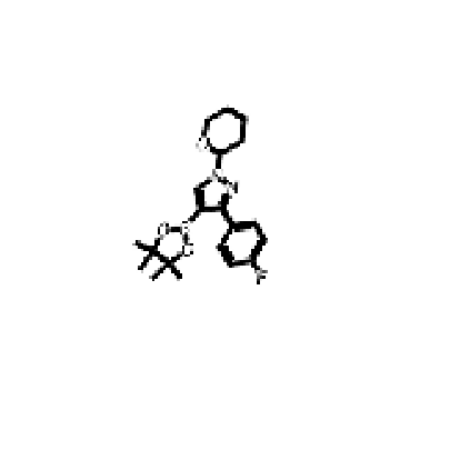 CC1(C)OB(c2cn(C3CCCCO3)nc2-c2ccc(F)cc2)OC1(C)C